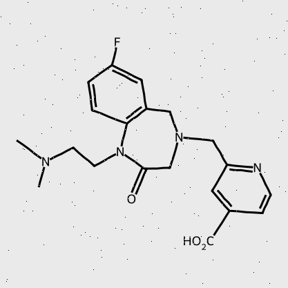 CN(C)CCN1C(=O)CN(Cc2cc(C(=O)O)ccn2)Cc2cc(F)ccc21